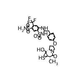 C[C@H](CS)C(=O)N1C[C@@H](Oc2ccc(CC3Nc4cc(C(F)(F)F)c(S(N)(=O)=O)cc4S(=O)(=O)N3)cc2)C[C@H]1C(=O)O